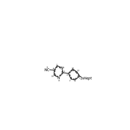 CCCCCCCc1ccc(-c2ncc(C#N)cn2)cc1